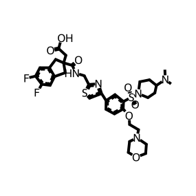 CN(C)C1CCN(S(=O)(=O)c2cc(-c3csc(CNC(=O)C4(CC(=O)O)Cc5cc(F)c(F)cc5C4)n3)ccc2OCCN2CCOCC2)CC1